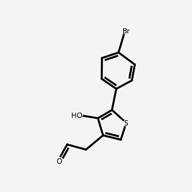 O=CCc1csc(-c2ccc(Br)cc2)c1O